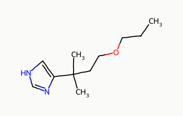 CCCOCCC(C)(C)c1c[nH]cn1